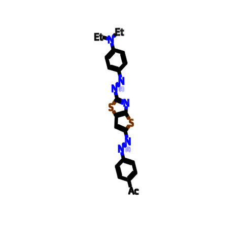 CCN(CC)c1ccc(/N=N/c2nc3sc(/N=N/c4ccc(C(C)=O)cc4)cc3s2)cc1